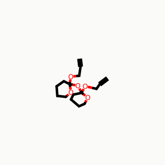 C#CCOC1(OC2(OCC#C)CCCCO2)CCCCO1